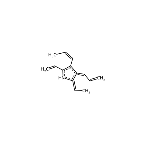 C=C/C=c1/c(/C=C\C)c(C=C)[nH]/c1=C/C